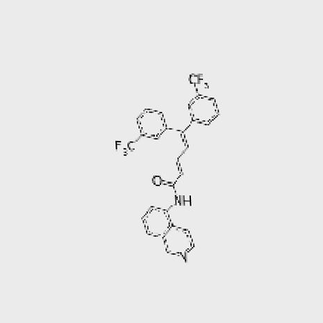 O=C(C=CC=C(c1cccc(C(F)(F)F)c1)c1cccc(C(F)(F)F)c1)Nc1cccc2cnccc12